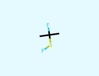 CC(C)(F)SF